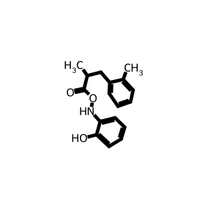 Cc1ccccc1CC(C)C(=O)ONc1ccccc1O